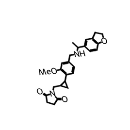 COc1cc(CNC(C)c2ccc3c(c2)CCO3)ccc1C1CC1CN1C(=O)CCC1=O